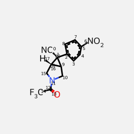 N#C[C@@]1(c2ccc([N+](=O)[O-])cc2)C2CN(C(=O)C(F)(F)F)C[C@@H]21